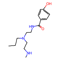 CCCN(CCNC)CCNC(=O)c1ccc(O)cc1